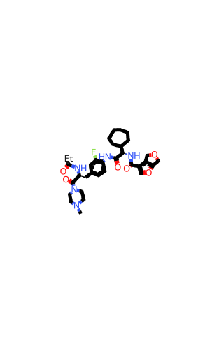 CCC(=O)N[C@H](Cc1ccc(NC(=O)[C@@H](NC(=O)c2coc3c2COC3)C2CCCCCC2)c(F)c1)C(=O)N1CCN(C)CC1